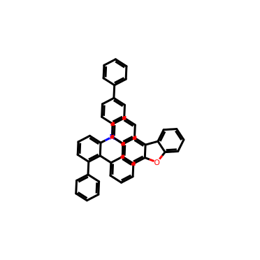 c1ccc(-c2ccc(N(c3ccc4oc5ccccc5c4c3)c3cccc(-c4ccccc4)c3-c3ccccc3-c3ccccc3)cc2)cc1